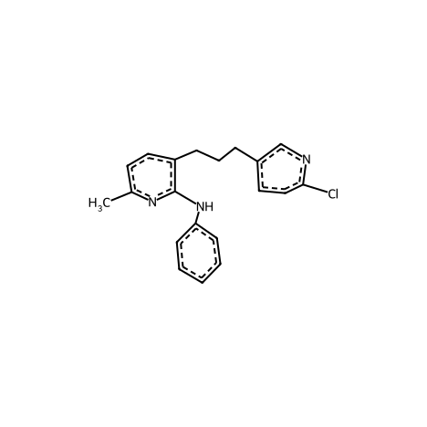 Cc1ccc(CCCc2ccc(Cl)nc2)c(Nc2ccccc2)n1